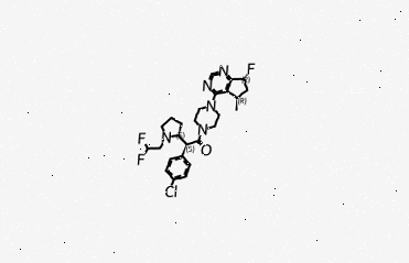 C[C@@H]1C[C@@H](F)c2ncnc(N3CCN(C(=O)[C@@H](c4ccc(Cl)cc4)[C@@H]4CCCN4CC(F)F)CC3)c21